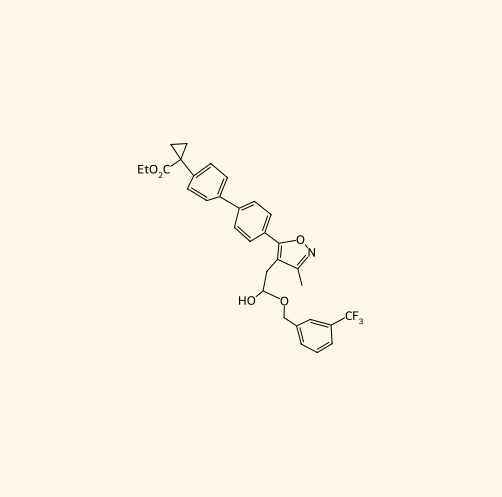 CCOC(=O)C1(c2ccc(-c3ccc(-c4onc(C)c4CC(O)OCc4cccc(C(F)(F)F)c4)cc3)cc2)CC1